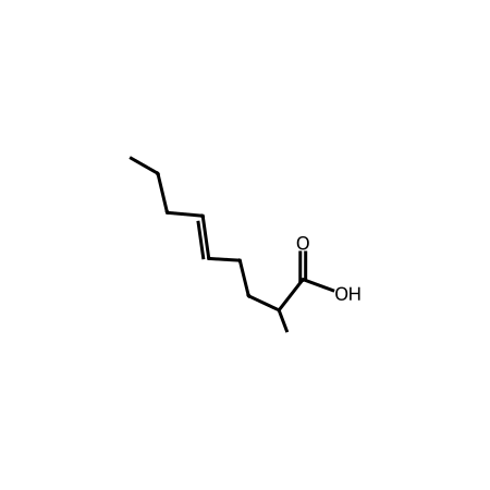 CCC/C=C/CCC(C)C(=O)O